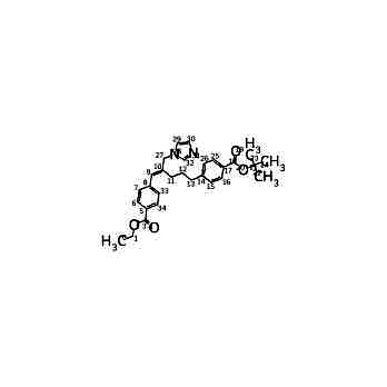 CCOC(=O)c1ccc(/C=C(\CCCc2ccc(C(=O)OC(C)(C)C)cc2)Cn2ccnc2)cc1